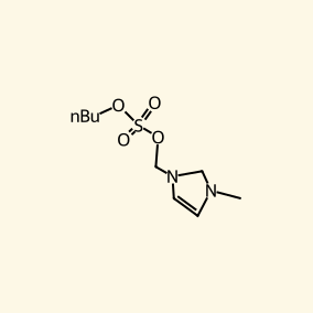 CCCCOS(=O)(=O)OCN1C=CN(C)C1